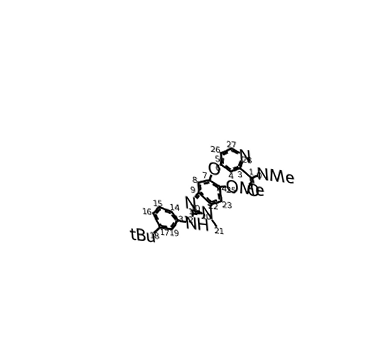 CNC(=O)c1cc(Oc2cc3nc(Nc4cccc(C(C)(C)C)c4)n(C)c3cc2OC)ccn1